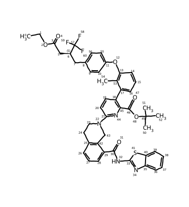 CCOC(=O)C[C@H](Cc1ccc(Oc2cccc(-c3ccc(N4CCc5cccc(C(=O)Nc6nc7ccccc7s6)c5C4)nc3C(=O)OC(C)(C)C)c2C)cc1)C(F)(F)F